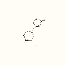 Cc1ccc(-n2ccc(=O)[nH]2)cc1N